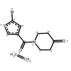 C=C.O=C1CCN(C(=O)c2csc(Br)c2)CC1